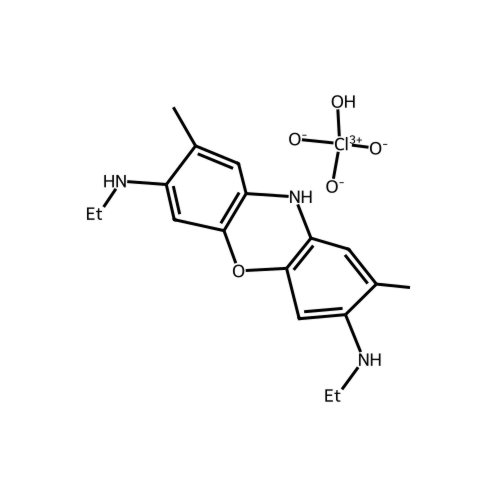 CCNc1cc2c(cc1C)Nc1cc(C)c(NCC)cc1O2.[O-][Cl+3]([O-])([O-])O